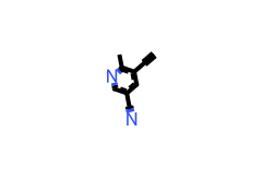 C#Cc1cc(C#N)cnc1C